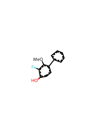 COc1c(-c2ccccc2)ccc(O)c1F